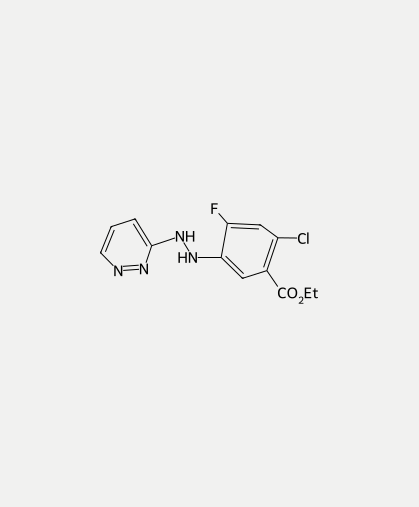 CCOC(=O)c1cc(NNc2cccnn2)c(F)cc1Cl